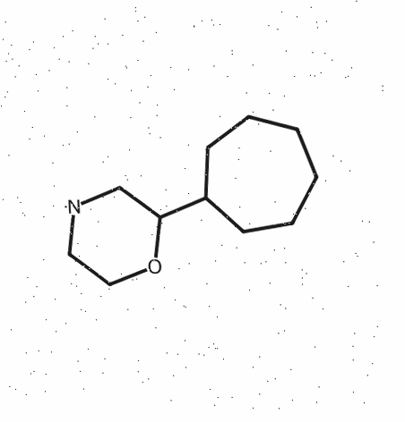 C1CCCC(C2C[N]CCO2)CC1